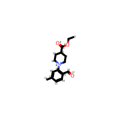 CCOC(=O)C1CCN(c2cc(C)ccc2C=O)CC1